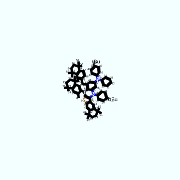 Cc1cc2c(cc1B1c3sc4cc5c(cc4c3N(c3ccc(C(C)(C)C)cc3)c3cc(N(c4ccccc4)c4ccc(C(C)(C)C)cc4)cc(Cc4ccc6c(c4)C(C)(C)CCC6(C)C)c31)C(C)(C)CCC5(C)C)C(C)(C)CCC2(C)C